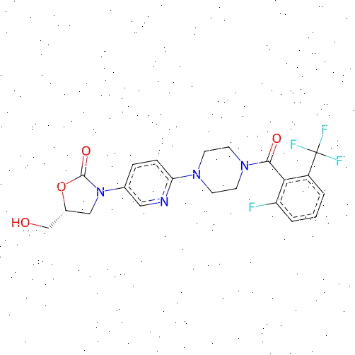 O=C(c1c(F)cccc1C(F)(F)F)N1CCN(c2ccc(N3C[C@H](CO)OC3=O)cn2)CC1